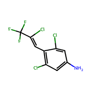 Nc1cc(Cl)c(C=C(Cl)C(F)(F)F)c(Cl)c1